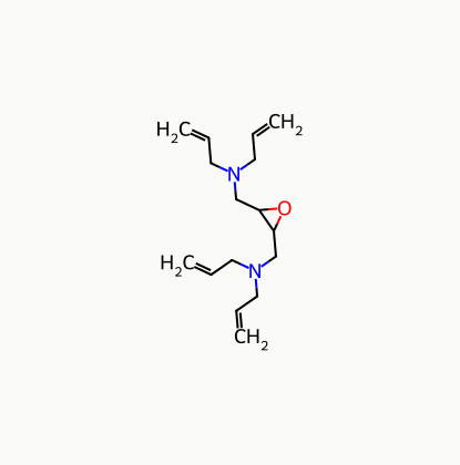 C=CCN(CC=C)CC1OC1CN(CC=C)CC=C